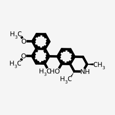 COc1cccc2c(-c3ccc4c(c3O)[C@@H](C)N[C@H](C)C4)c(C)cc(OC)c12